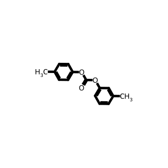 Cc1ccc(OC(=O)Oc2cccc(C)c2)cc1